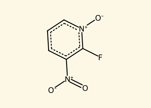 O=[N+]([O-])c1ccc[n+]([O-])c1F